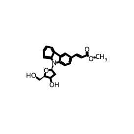 COC(=O)/C=C/c1ccc2c(c1)c1ccccc1n2[C@H]1CC(O)[C@@H](CO)O1